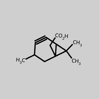 CC1C#CC2C(C)(C)C2(CC(=O)O)C1